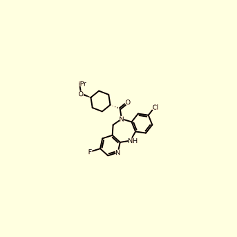 CC(C)O[C@H]1CC[C@H](C(=O)N2Cc3cc(F)cnc3Nc3ccc(Cl)cc32)CC1